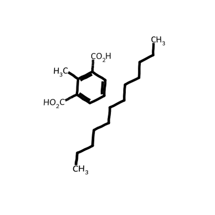 CCCCCCCCCCCC.Cc1c(C(=O)O)cccc1C(=O)O